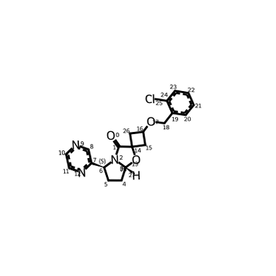 O=C1N2[C@@H](CC[C@H]2c2cnccn2)OC12CC(OCc1ccccc1Cl)C2